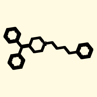 c1ccc(CCCCN2CCC(=C(c3ccccc3)c3ccccc3)CC2)cc1